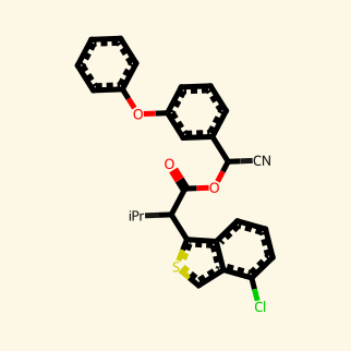 CC(C)C(C(=O)OC(C#N)c1cccc(Oc2ccccc2)c1)c1scc2c(Cl)cccc12